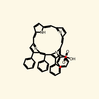 O=S(=O)(O)c1c(-c2ccccc2)c2c(-c3ccccc3)c3nc(cc4ccc(cc5nc(cc1n2-c1ccccc1)C=C5)[nH]4)C=C3c1ccccc1